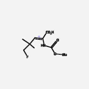 CC(C)(/C=C(\NC(=O)OC(C)(C)C)C(=O)O)CF